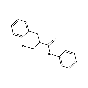 O=C(Nc1ccccc1)C(CS)Cc1ccccc1